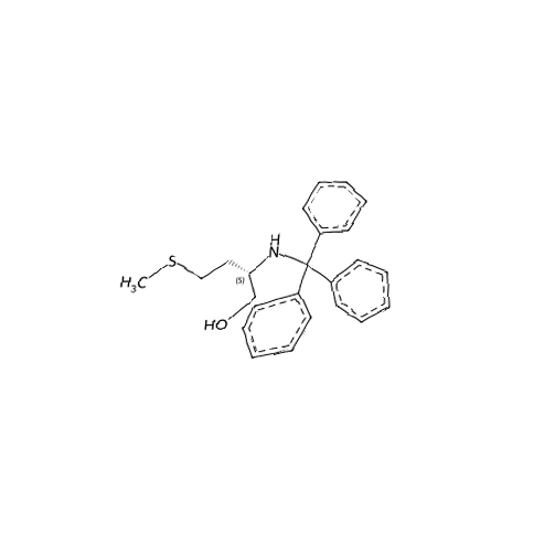 CSCC[C@@H](CO)NC(c1ccccc1)(c1ccccc1)c1ccccc1